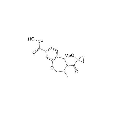 COC1(C(=O)N2Cc3ccc(C(=O)NO)cc3OCC2C)CC1